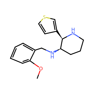 COc1ccccc1CN[C@@H]1CCCN[C@@H]1c1ccsc1